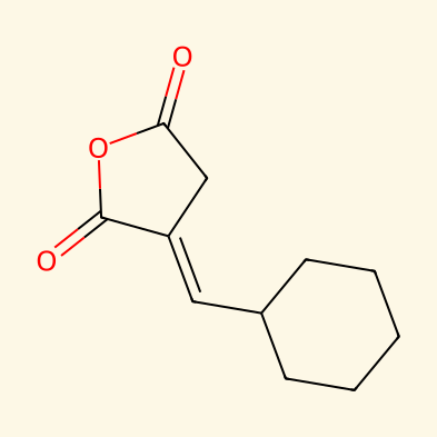 O=C1C/C(=C\C2CCCCC2)C(=O)O1